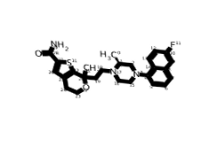 C[C@H]1CN(c2cccc3cc(F)ccc23)CCN1CCC1(C)OCCc2cc(C(N)=O)sc21